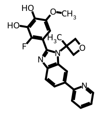 COc1cc(-c2nc3ccc(-c4ccccn4)cc3n2C2(C)COC2)c(F)c(O)c1O